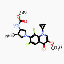 CO[C@@H]1CN(c2c(F)cc3c(=O)c(OC(=O)O)cn(C4CC4)c3c2F)C[C@@H]1NC(=O)OC(C)(C)C